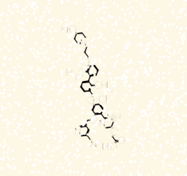 Cc1c(COc2cc(OCc3cncc(C#N)c3)c(C3=NCC(OCC(=O)O)CN3)cc2Cl)cccc1-c1cccc(OCCCN2CCC(O)CC2)c1C